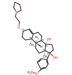 COc1ccc([C@@]2(O)CC[C@]3(O)[C@@H]4CCC5=C[C@@H](OCCN6CCCC6)CC[C@]5(C)[C@H]4CC[C@]23C)cc1